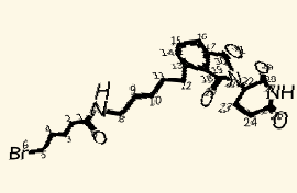 O=C(CCCCBr)NCCCCCc1cccc2c1C(=O)N(C1CCC(=O)NC1=O)C2=O